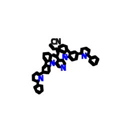 C=C(/C=C\C=C/C#N)c1c(-n2c3ccccc3c3cc(-c4cccc(-c5ccccc5)n4)ccc32)cncc1-n1c2ccccc2c2cc(-c3cccc(-c4ccccc4)n3)ccc21